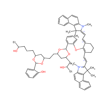 CCC(O)CCCC1CC(CCC2CC(CC(O)CC)OC(c3ccccc3OC3=C(/C=C/C4=[N+](C)c5ccc6ccccc6c5C4(C)C)CCC/C3=C\C=C3\N(C)c4ccc5ccccc5c4C3(C)C)O2)OC(c2ccccc2O)O1